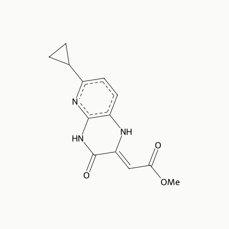 COC(=O)/C=C1\Nc2ccc(C3CC3)nc2NC1=O